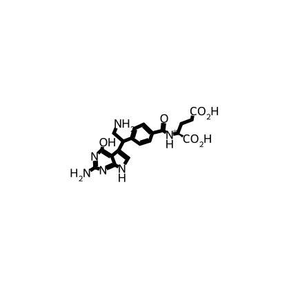 NCC(c1ccc(C(=O)N[C@@H](CCC(=O)O)C(=O)O)cc1)c1c[nH]c2nc(N)nc(O)c12